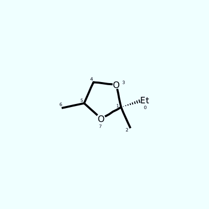 CC[C@@]1(C)OCC(C)O1